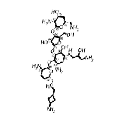 NCC(O)CN[C@@H]1C[C@H](N)[C@@H](O[C@H]2O[C@H](CNCC3CC(N)C3)CC[C@H]2N)[C@H](O[C@@H]2O[C@H](CO)[C@@H](O[C@H]3O[C@@H](CN)C[C@H](O)[C@H]3N)[C@H]2O)[C@H]1O